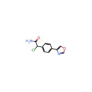 NC(=O)C(Cl)c1ccc(-c2cocn2)cc1